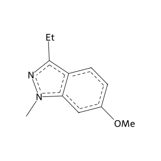 CCc1nn(C)c2cc(OC)ccc12